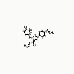 COC(=O)c1cc(-c2ccc(OC)cc2)nn1Cc1ccc(C)c(Cl)c1